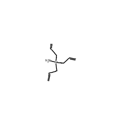 C=CC[N+](N)(CC=C)CC=C